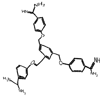 N=C(N)c1ccc(OCc2cc(COc3ccc(C(=N)N)cc3)cc(COc3ccc(C(N)N)cc3)c2)cc1